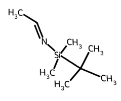 CC=N[Si](C)(C)C(C)(C)C